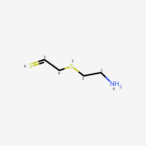 NCCSC[C]=S